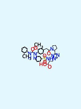 COc1cc(CC(=O)N2CCCC2c2ncn(CC(NS(=O)(=O)c3ccccc3)C(=O)O)n2)ccc1NC(=O)Nc1ccccc1C